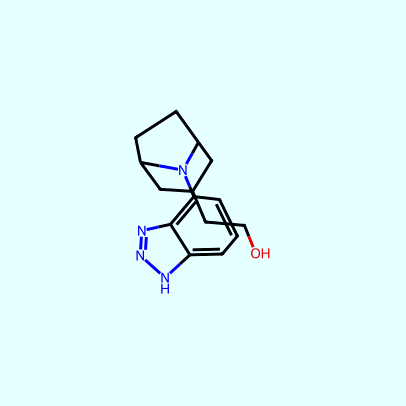 OCCC1CC2CCC(C1)N2c1cccc2[nH]nnc12